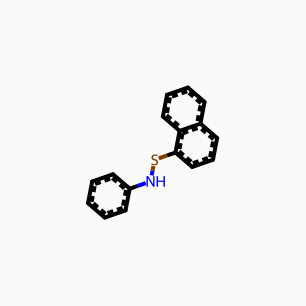 c1ccc(NSc2cccc3ccccc23)cc1